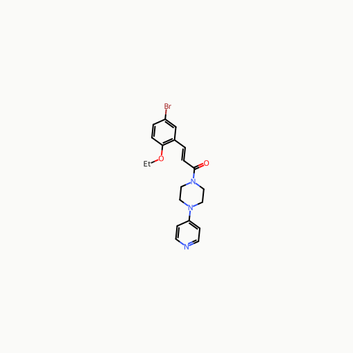 CCOc1ccc(Br)cc1/C=C/C(=O)N1CCN(c2ccncc2)CC1